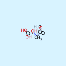 COc1ccc(CC(C)NCC(O)c2cc(O)cc(O)c2)c2ccccc12